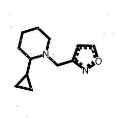 c1cc(CN2CCCCC2C2CC2)no1